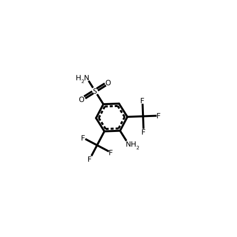 Nc1c(C(F)(F)F)cc(S(N)(=O)=O)cc1C(F)(F)F